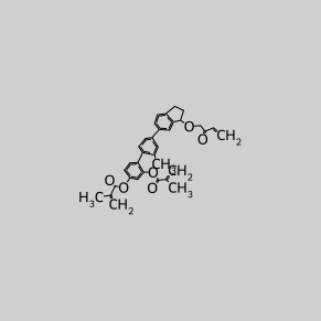 C=CC(=O)COC1CCc2ccc(-c3ccc(-c4ccc(OC(=O)C(=C)C)cc4OC(=O)C(=C)C)c(C)c3)cc21